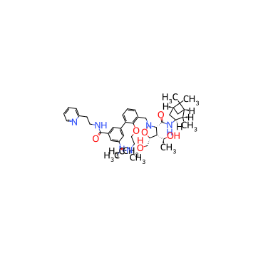 C[C@@H]1[C@@H](NC(=O)[C@@H]2[C@H]([C@H](C)O)[C@H](CO)ON2Cc2cccc(-c3cc(C(=O)NCCc4ccccn4)cc(N(C)C)c3)c2OCCN(C)C)C[C@H]2C[C@@H]1C2(C)C